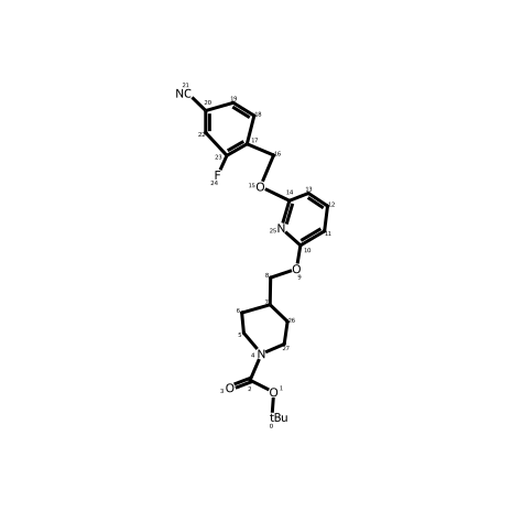 CC(C)(C)OC(=O)N1CCC(COc2cccc(OCc3ccc(C#N)cc3F)n2)CC1